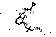 CC(C)(CN)CNc1cccc2nc(NC(=O)C3CC3)nn12